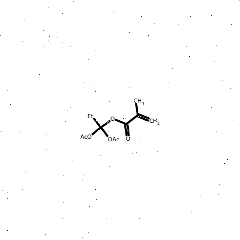 C=C(C)C(=O)OC(CC)(OC(C)=O)OC(C)=O